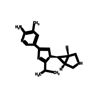 Cc1cc(-c2cn([C@H]3[C@@H]4CNC[C@@H]43)c(C(C)C)n2)cnc1N